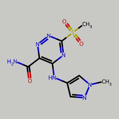 Cn1cc(Nc2nc(S(C)(=O)=O)nnc2C(N)=O)cn1